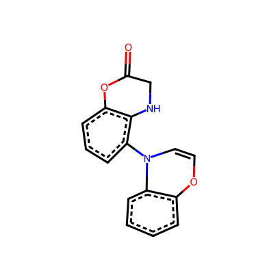 O=C1CNc2c(cccc2N2C=COc3ccccc32)O1